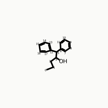 [CH2]CCC(O)C(c1ccccc1)c1ccccc1